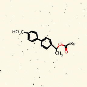 CCC(C)C(=O)OC(C)c1ccc(-c2ccc(C(=O)O)cc2)cc1